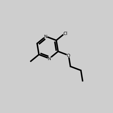 CCCOc1nc(C)cnc1Cl